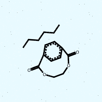 CCCCCC.O=C1OCCOC(=O)c2ccc1cc2